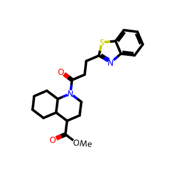 COC(=O)C1CCN(C(=O)CCc2nc3ccccc3s2)C2CCCCC12